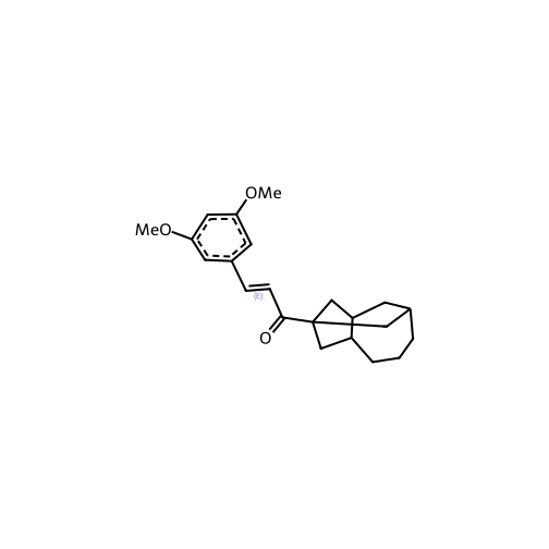 COc1cc(/C=C/C(=O)C23CC4CCCC(C2)C(C4)C3)cc(OC)c1